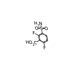 NS(=O)(=O)c1ccc(F)c(C(=O)O)c1F